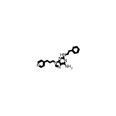 Nc1nc(NCCc2ccccc2)nc2c1ncn2CCCc1ccncc1